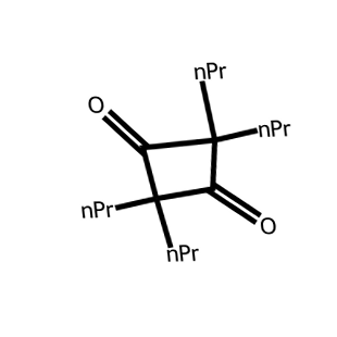 CCCC1(CCC)C(=O)C(CCC)(CCC)C1=O